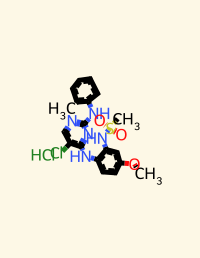 COc1ccc(Nc2nc(Nc3ccccc3C)ncc2Cl)c(NS(C)(=O)=O)c1.Cl